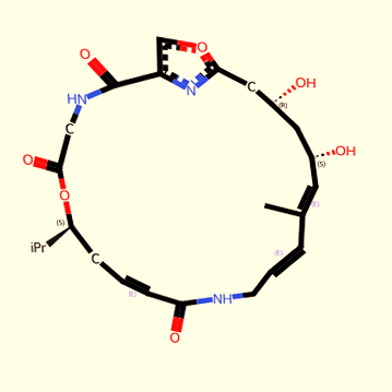 CC1=C\[C@@H](O)C[C@@H](O)Cc2nc(co2)C(=O)NCC(=O)O[C@H](C(C)C)C/C=C/C(=O)NC\C=C\1